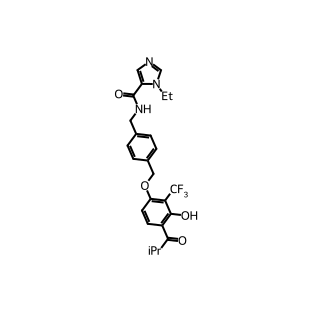 CCn1cncc1C(=O)NCc1ccc(COc2ccc(C(=O)C(C)C)c(O)c2C(F)(F)F)cc1